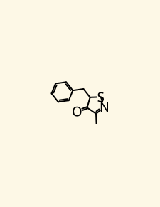 CC1=NSC(Cc2ccccc2)C1=O